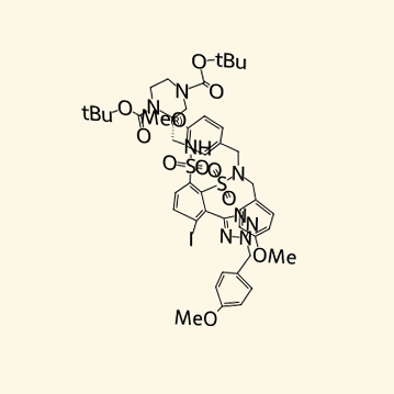 COc1ccc(CN(Cc2ccc(OC)cc2)S(=O)(=O)c2c(S(=O)(=O)NC[C@H]3CN(C(=O)OC(C)(C)C)CCN3C(=O)OC(C)(C)C)ccc(I)c2-c2nnn(Cc3ccc(OC)cc3)n2)cc1